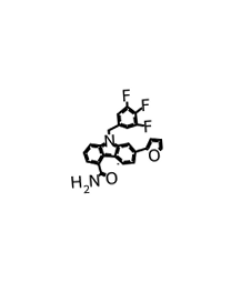 NC(=O)c1cccc2c1c1[c]cc(-c3ccco3)cc1n2Cc1cc(F)c(F)c(F)c1